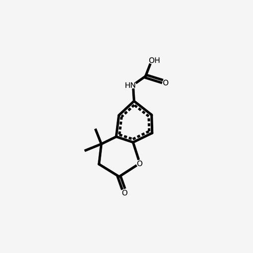 CC1(C)CC(=O)Oc2ccc(NC(=O)O)cc21